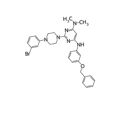 CN(C)c1cc(Nc2cccc(OCc3ccccc3)c2)nc(N2CCN(c3cccc(Br)c3)CC2)n1